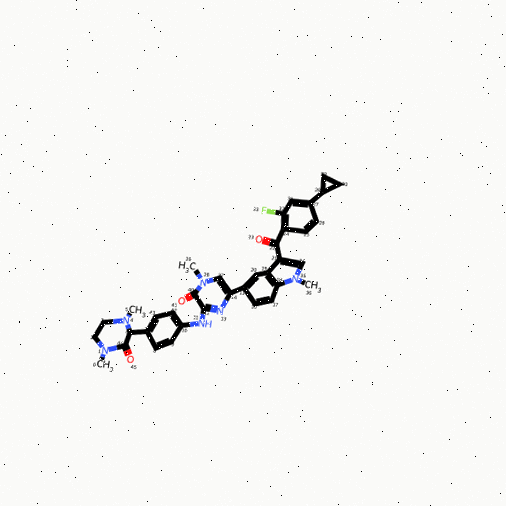 CN1CCN(C)C(c2ccc(Nc3nc(-c4ccc5c(c4)c(C(=O)c4ccc(C6CC6)cc4F)cn5C)cn(C)c3=O)cc2)C1=O